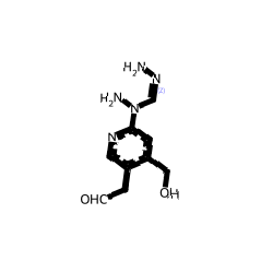 N/N=C\N(N)c1cc(CO)c(CC=O)cn1